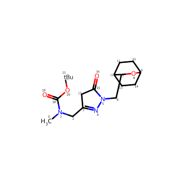 CN(CC1=NN(CC2OC3CCC2CC3)C(=O)C1)C(=O)OC(C)(C)C